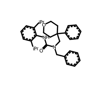 CC(C)c1cccc(C(C)C)c1NC(=O)N(Cc1ccccc1)CC1(c2ccccc2)CCOCC1